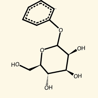 OC[C@H]1OC(Oc2[c]cccc2)[C@@H](O)[C@@H](O)[C@@H]1O